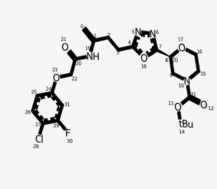 C=C(CCc1nnc([C@@H]2CN(C(=O)OC(C)(C)C)CCO2)o1)NC(=O)COc1ccc(Cl)c(F)c1